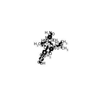 CCn1nc(C)cc1C(=O)Nc1nc2cc(C(N)=O)cc(OC)c2n1CC=CCn1c(NC(=O)c2cc(C)nn2CC)nc2cc(C(N)=O)cc(OCC#CC3CCN(S(=O)(=O)N4CCN(C(=O)O)CC4)CC3)c21